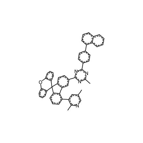 Cc1cnc(C)c(-c2cccc3c2-c2cc(-c4nc(C)nc(-c5ccc(-c6cccc7ccccc67)cc5)n4)ccc2C32c3ccccc3Oc3ccccc32)c1